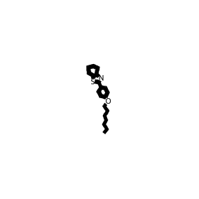 CCCCCCCOc1ccc(-c2nc3ccccc3s2)cc1